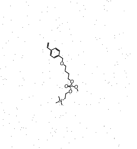 C=Cc1ccc(COCCCCOP(=O)(OC)OCC[N+](C)(C)C)cc1